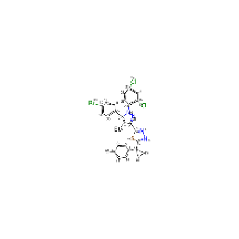 CCc1c(-c2nnc(C3(c4ccc(C)cc4)CC3)s2)nn(-c2ccc(Cl)cc2Cl)c1-c1ccc(Br)cc1